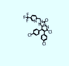 O=c1n(Cc2ccc(C(F)(F)F)cn2)nc2c(-c3ccc(Cl)cc3)c(-c3ccc(Cl)cc3)c(Cl)nn12